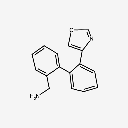 NCc1ccccc1-c1ccccc1-c1cocn1